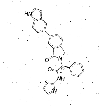 O=C(Nc1nccs1)[C@H](c1ccccc1)N1Cc2ccc(-c3ccc4[nH]ccc4c3)cc2C1=O